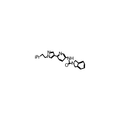 CC(C)CCn1cc(-c2ccc(NC(=O)N3Cc4ccccc4C3)cn2)cn1